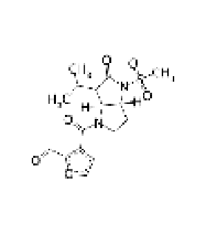 CC(C)C1C(=O)N(S(C)(=O)=O)[C@@H]2CCN(C(=O)c3ccoc3C=O)[C@@H]12